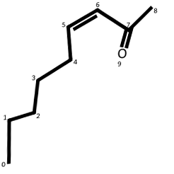 CCCCC/C=C\C(C)=O